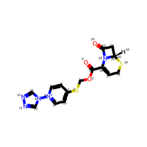 O=C(OCSc1cc[n+](-n2cnnc2)cc1)C1=CCS[C@H]2CC(=O)N12